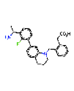 CC(N)c1cccc(-c2ccc3c(c2)N(Cc2ccccc2CC(=O)O)CCC3)c1F